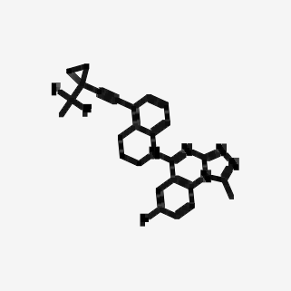 Cc1nnc2nc(N3CCCc4c(C#CC5(C(C)(F)F)CC5)cccc43)c3cc(F)ccc3n12